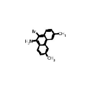 Cc1ccc2c(N)c(Br)c3ccc(C)cc3c2c1